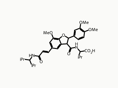 COc1ccc(C2Oc3c(OC)cc(/C=C/C(=O)NC(C(C)C)C(C)C)cc3C2C(=O)NC(C(=O)O)C(C)C)cc1OC